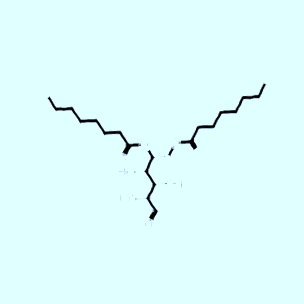 CCCCCCCC(=O)OC[C@@H](OC(=O)CCCCCCC)[C@@H](O)[C@H](O)[C@@H](O)C=O